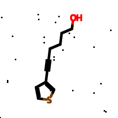 OCCCCC#Cc1ccsc1